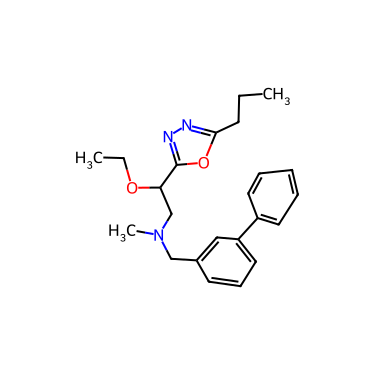 CCCc1nnc(C(CN(C)Cc2cccc(-c3ccccc3)c2)OCC)o1